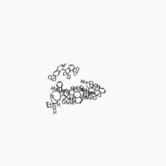 CC[C@]1(O)C[C@@H]2C[N@@](CCc3c([nH]c4ccccc34)[C@@](C(=O)OC)(c3cc4c(cc3OC)N(C)[C@H]3[C@@](O)(C(=O)OC)[C@H](OC(C)=O)[C@]5(CC)C=CCN6CC[C@]43[C@@H]65)C2)C1.CN1CCc2cc3c(cc2[C@H]1[C@@H]1OC(=O)c2c1ccc1c2OCO1)OCO3.COC(=O)C1=C(C)NC(C)=C(C(=O)OC)C1c1ccccc1[N+](=O)[O-]